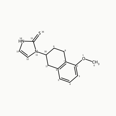 COc1cccc2c1CCC(n1cc[nH]c1=S)C2